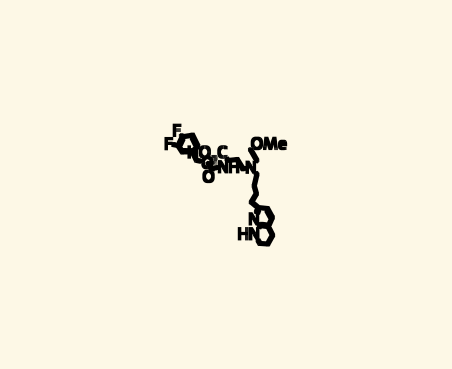 COCCN(CCCCc1ccc2c(n1)NCCC2)CCC(NC(=O)OCc1ccc(F)c(F)c1)C(=O)O